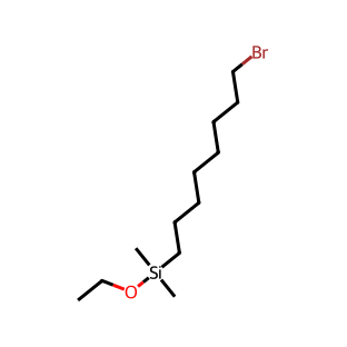 CCO[Si](C)(C)CCCCCCCCBr